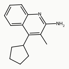 Cc1c(N)nc2ccccc2c1C1CCCC1